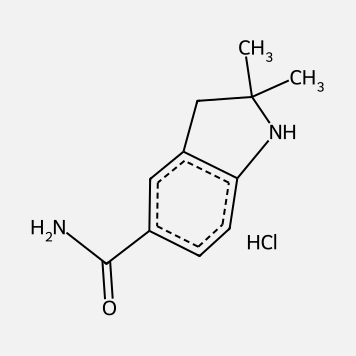 CC1(C)Cc2cc(C(N)=O)ccc2N1.Cl